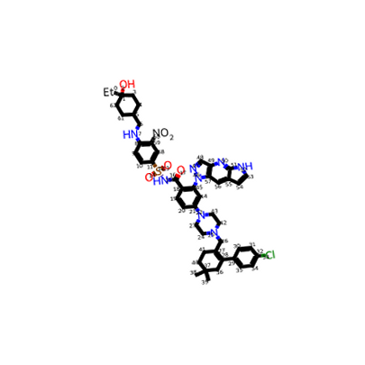 CCC1(O)CCC(CNc2ccc(S(=O)(=O)NC(=O)c3ccc(N4CCN(CC5=C(c6ccc(Cl)cc6)CC(C)(C)CC5)CC4)cc3-n3ncc4nc5[nH]ccc5cc43)cc2[N+](=O)[O-])CC1